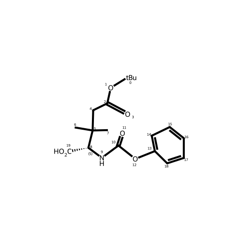 CC(C)(C)OC(=O)CC(C)(C)[C@H](NC(=O)Oc1ccccc1)C(=O)O